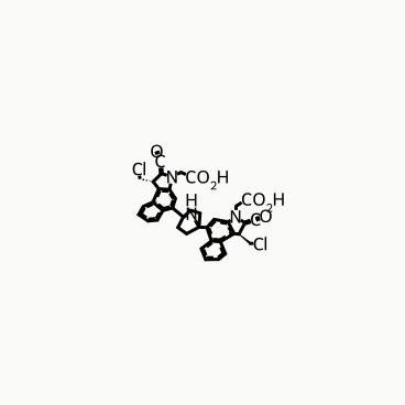 O=C=C1[C@@H](CCl)c2c(cc(C34CCC(c5cc6c(c7ccccc57)[C@H](CCl)C(=C=O)N6CC(=O)O)(CC3)N4)c3ccccc23)N1CC(=O)O